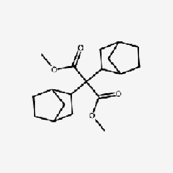 COC(=O)C(C(=O)OC)(C1CC2CCC1C2)C1CC2CCC1C2